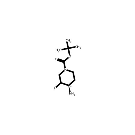 CC(C)(C)OC(=O)N1CC[C@@H](N)C(F)C1